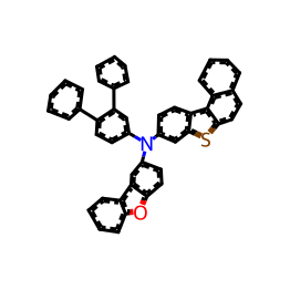 c1ccc(-c2ccc(N(c3ccc4c(c3)sc3ccc5ccccc5c34)c3ccc4oc5ccccc5c4c3)cc2-c2ccccc2)cc1